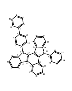 c1ccc(-c2ccc(-n3c4ccccc4c4c5ccccc5c5c(c6ccccc6n5-c5ccccc5)c43)cc2)cc1